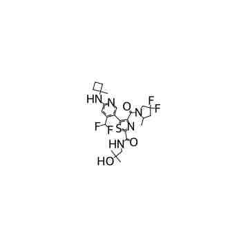 CC1CC(F)(F)CN1C(=O)c1nc(C(=O)NCC(C)(C)O)sc1-c1cnc(NC2(C)CCC2)cc1C(F)F